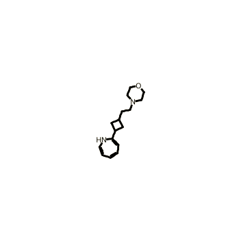 C1=CC=C(C2CC(CCN3CCOCC3)C2)NC=C1